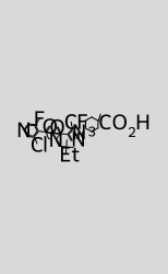 CCC(C)(C)CN(CC(=O)c1c(F)cncc1Cl)C(=O)c1cnn(C2CCC(C)(C(=O)O)CC2)c1C(F)(F)F